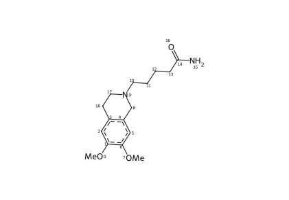 COc1cc2c(cc1OC)CN(CCCCC(N)=O)CC2